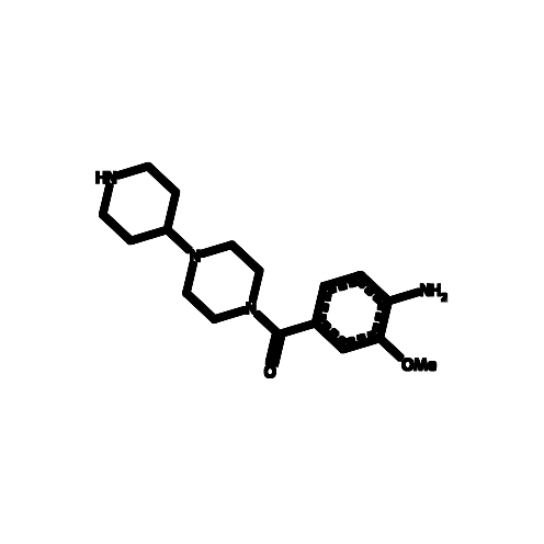 COc1cc(C(=O)N2CCN(C3CCNCC3)CC2)ccc1N